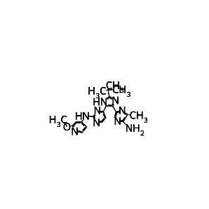 COc1cc(Nc2nccc(-c3[nH]c(C(C)(C)C)nc3-c3cnc(N)c(C)n3)n2)ccn1